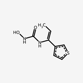 CC=C(NC(=O)NO)c1ccsc1